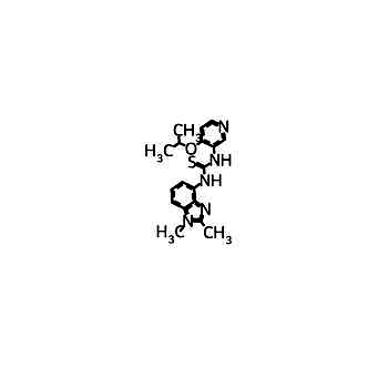 Cc1nc2c(NC(=S)Nc3cnccc3OC(C)C)cccc2n1C